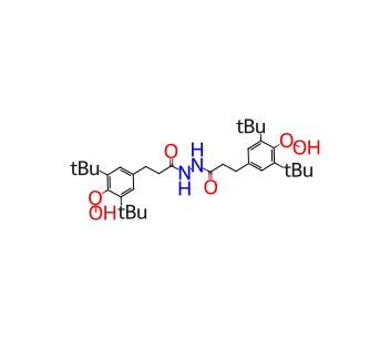 CC(C)(C)c1cc(CCC(=O)NNC(=O)CCc2cc(C(C)(C)C)c(OO)c(C(C)(C)C)c2)cc(C(C)(C)C)c1OO